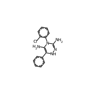 NC1=NNC(c2ccccc2)=C(N)N1c1ccccc1Cl